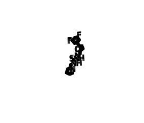 Fc1cc(F)cc(-c2ccc(C=NNC(=S)NCc3ccccn3)o2)c1